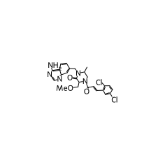 COCC1C(=O)N(Cc2ccc3c(N)ncnc3c2)C(C)CN1C(=O)/C=C/c1cc(Cl)ccc1Cl